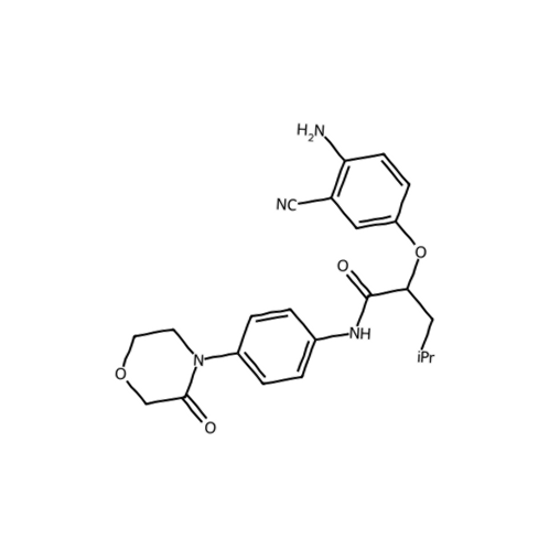 CC(C)CC(Oc1ccc(N)c(C#N)c1)C(=O)Nc1ccc(N2CCOCC2=O)cc1